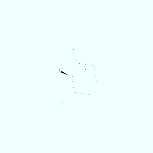 CCC1CC2CC(=O)[C@@H]1C2(C)C